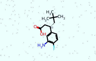 CC(C)(C)C[C@@H](CC(=O)O)c1ccc(F)c(N)c1